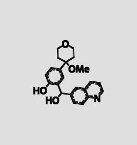 COC1(c2ccc(O)c(C(O)c3ccc4ncccc4c3)c2)CCOCC1